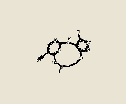 C[C@@H]1CCOc2n[nH]c(Cl)c2Nc2ncc(C#N)c(n2)N1